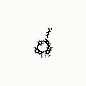 COc1cc2c3cc1Oc1c(OC)c(OC)cc4c1[C@@H](Cc1ccc(OCCCCCN)c(c1)Oc1ccc(cc1)C[C@@H]3N(C)CC2)N(C)CC4